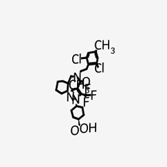 Cc1cc(Cl)c(CCN(CC2(C)CCCCC2)C(=O)c2cnn([C@H]3CC[C@@H](C(=O)O)CC3)c2C(F)(F)F)c(Cl)c1